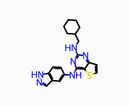 c1cc2nc(NCC3CCCCC3)nc(Nc3ccc4[nH]ncc4c3)c2s1